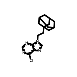 Clc1ncnc2c1ncn2CCC12CC3CC(CC(C3)C1)C2